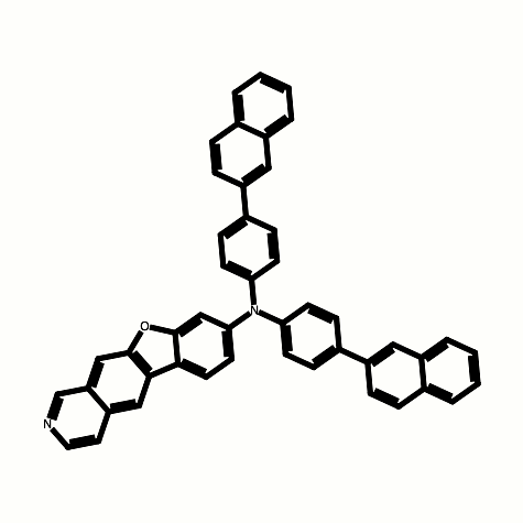 c1ccc2cc(-c3ccc(N(c4ccc(-c5ccc6ccccc6c5)cc4)c4ccc5c(c4)oc4cc6cnccc6cc45)cc3)ccc2c1